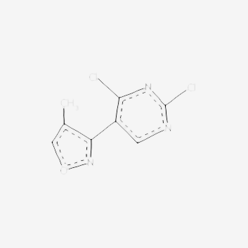 Cc1conc1-c1cnc(Cl)nc1Cl